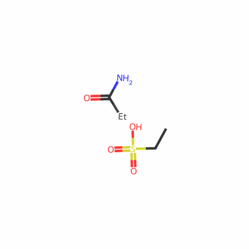 CCC(N)=O.CCS(=O)(=O)O